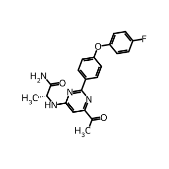 CC(=O)c1cc(N[C@H](C)C(N)=O)nc(-c2ccc(Oc3ccc(F)cc3)cc2)n1